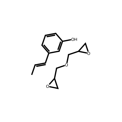 C(OCC1CO1)C1CO1.CC=Cc1cccc(O)c1